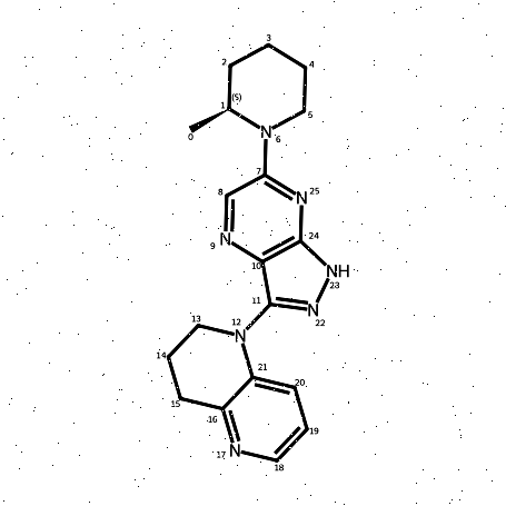 C[C@H]1CCCCN1c1cnc2c(N3CCCc4ncccc43)n[nH]c2n1